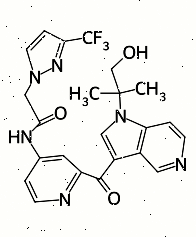 CC(C)(CO)n1cc(C(=O)c2cc(NC(=O)Cn3ccc(C(F)(F)F)n3)ccn2)c2cnccc21